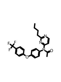 CCCCc1nccc(N(C(C)=O)c2ccc(Oc3ccc(C(F)(F)F)cc3)cc2)n1